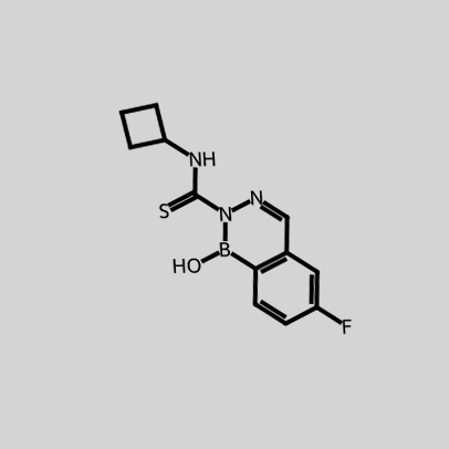 OB1c2ccc(F)cc2C=NN1C(=S)NC1CCC1